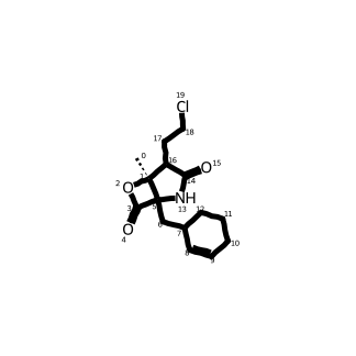 C[C@@]12OC(=O)C1(CC1C=CCCC1)NC(=O)C2CCCl